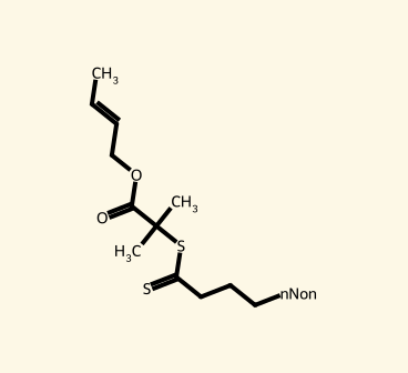 CC=CCOC(=O)C(C)(C)SC(=S)CCCCCCCCCCCC